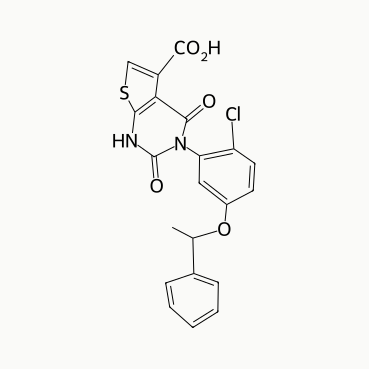 CC(Oc1ccc(Cl)c(-n2c(=O)[nH]c3scc(C(=O)O)c3c2=O)c1)c1ccccc1